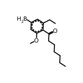 Bc1cc(CC)c(C(=O)CCCCCC)c(OC)c1